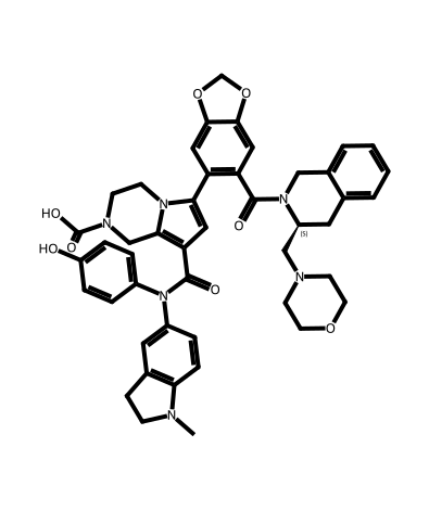 CN1CCc2cc(N(C(=O)c3cc(-c4cc5c(cc4C(=O)N4Cc6ccccc6C[C@H]4CN4CCOCC4)OCO5)n4c3CN(C(=O)O)CC4)c3ccc(O)cc3)ccc21